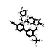 N#Cc1ccc(-c2ccc(OC(F)(F)F)c(Cn3c(=O)[nH]c4cnc(NC[C@@H]5CCNC5)nc43)c2)cc1